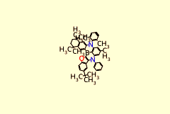 Cc1cc2c3c(c1)N(c1ccccc1)c1c(oc4ccc(C(C)(C)C)cc14)B3c1cc3c(cc1N2c1c(C)c#ccc1C)C(C)(C)CCC3(C)C